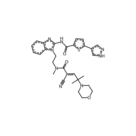 CN(CCn1c(NC(=O)c2ccc(-c3cn[nH]c3)s2)nc2ccccc21)C(=O)C(C#N)=CC(C)(C)N1CCOCC1